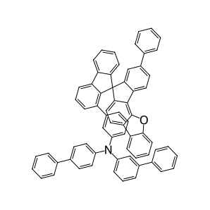 c1ccc(-c2ccc(N(c3cccc(-c4ccccc4)c3)c3cccc(-c4cccc5c4C4(c6ccccc6-5)c5cc(-c6ccccc6)ccc5-c5c4ccc4c5oc5ccccc54)c3)cc2)cc1